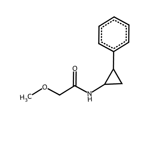 COCC(=O)NC1CC1c1ccccc1